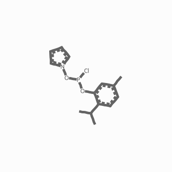 Cc1ccc(C(C)C)c(OP(Cl)On2cccc2)c1